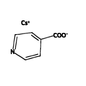 O=C([O-])c1ccncc1.[Cs+]